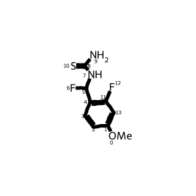 COc1ccc(C(F)NC(N)=S)c(F)c1